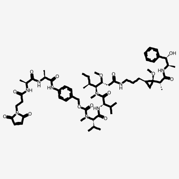 CC[C@H](C)[C@@H]([C@@H](CC(=O)NCCC[C@@H]1C[C@@]1(OC)[C@@H](C)C(=O)N[C@H](C)[C@@H](O)c1ccccc1)OC)N(C)C(=O)[C@@H](NC(=O)[C@H](C(C)C)N(C)C(=O)OCc1ccc(NC(=O)[C@H](C)NC(=O)[C@H](C)NC(=O)CCN2C(=O)C=CC2=O)cc1)C(C)C